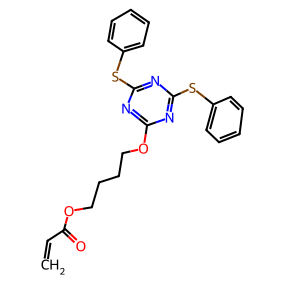 C=CC(=O)OCCCCOc1nc(Sc2ccccc2)nc(Sc2ccccc2)n1